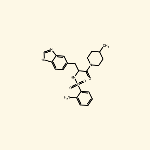 CC1CCN(C(=O)C(Cc2ccc3[nH]cnc3c2)NS(=O)(=O)c2ccccc2N)CC1